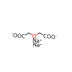 O=C([O-])COCC(=O)[O-].[Na+].[Na+]